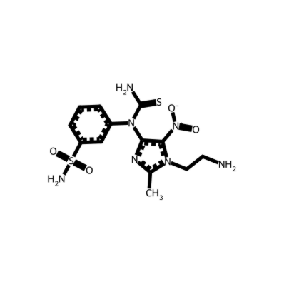 Cc1nc(N(C(N)=S)c2cccc(S(N)(=O)=O)c2)c([N+](=O)[O-])n1CCN